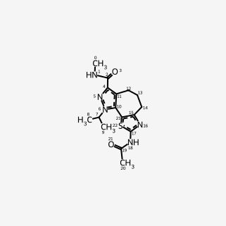 CNC(=O)c1nn(C(C)C)c2c1CCCc1nc(NC(C)=O)sc1-2